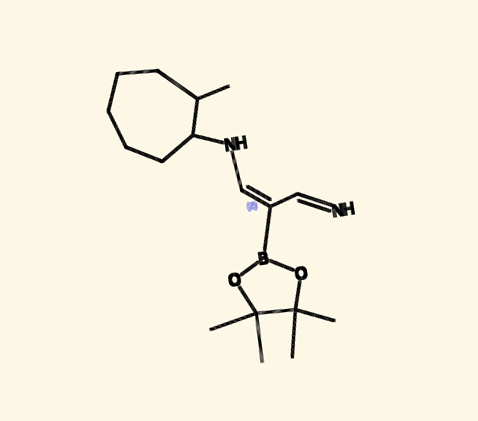 CC1CCCCCC1N/C=C(\C=N)B1OC(C)(C)C(C)(C)O1